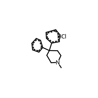 CN1CCC(c2ccccc2)(c2ccccc2)CC1.Cl